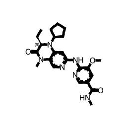 CC[C@@H]1C(=O)N(C)c2cnc(Nc3ncc(C(=O)NC)cc3OC)cc2N1C1CCCC1